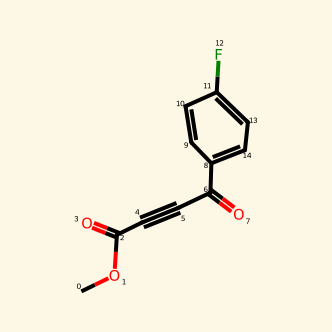 COC(=O)C#CC(=O)c1ccc(F)cc1